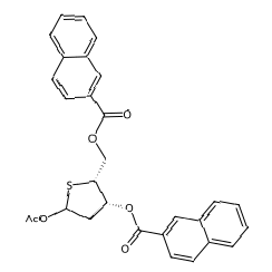 CC(=O)OC1C[C@@H](OC(=O)c2ccc3ccccc3c2)[C@@H](COC(=O)c2ccc3ccccc3c2)S1